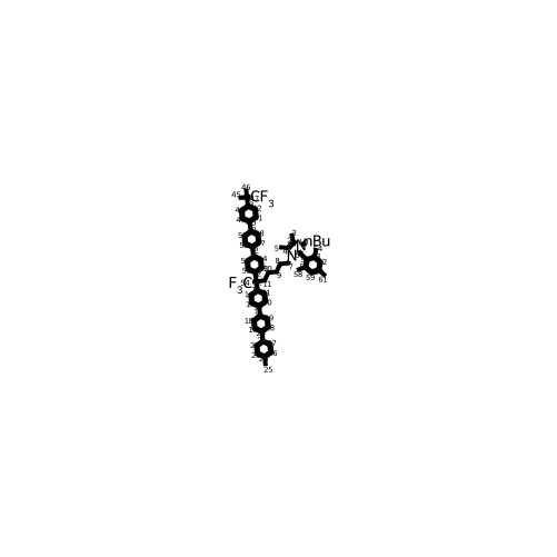 CCCCn1c(C)c(C)[n+](CCCCCC(c2ccc(-c3ccc(-c4ccc(C)cc4)cc3)cc2)(c2ccc(-c3ccc(-c4ccc(C(C)(C)C(F)(F)F)cc4)cc3)cc2)C(F)(F)F)c1-c1c(C)cc(C)cc1C